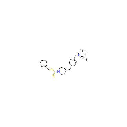 CN(C)Cc1ccc(CC2CCN(C(=S)SCc3ccccc3)CC2)cc1